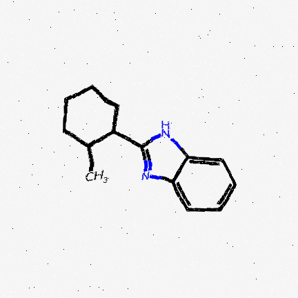 CC1CCCCC1c1nc2ccccc2[nH]1